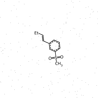 CC/C=C/c1cccc(S(C)(=O)=O)c1